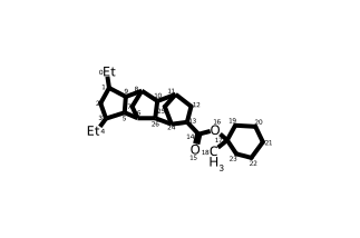 CCC1CC(CC)C2C3CC(C12)C1C2CC(C(=O)OC4(C)CCCCC4)C(C2)C31